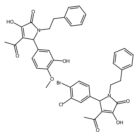 CC(=O)C1=C(O)C(=O)N(CCc2ccccc2)C1c1ccc(Br)c(Cl)c1.COc1ccc(C2C(C(C)=O)=C(O)C(=O)N2CCc2ccccc2)cc1O